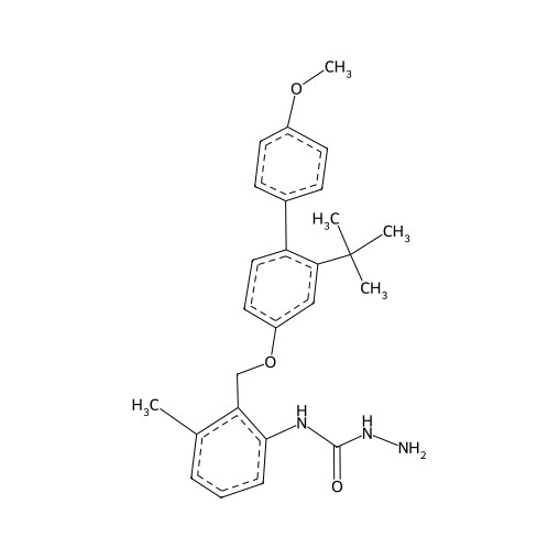 COc1ccc(-c2ccc(OCc3c(C)cccc3NC(=O)NN)cc2C(C)(C)C)cc1